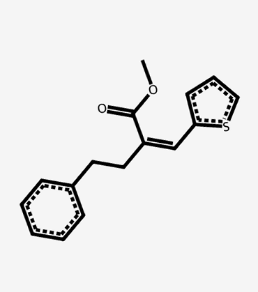 COC(=O)C(=Cc1cccs1)CCc1ccccc1